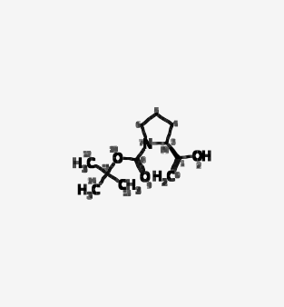 C=C(O)[C@@H]1CCCN1C(=O)OC(C)(C)C